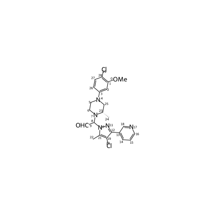 COc1cc(N2CCN(C(C=O)n3nc(-c4cccnc4)c(Cl)c3C)[C@@H](C)C2)ccc1Cl